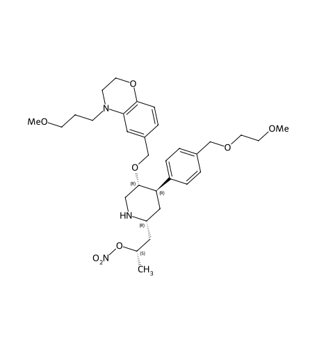 COCCCN1CCOc2ccc(CO[C@H]3CN[C@@H](C[C@H](C)O[N+](=O)[O-])C[C@@H]3c3ccc(COCCOC)cc3)cc21